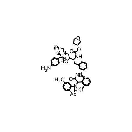 CC(=O)c1ccc(C)cc1NC(C(N)=O)c1c(Cl)cccc1Cl.CC(C)CN(C[C@@H](O)[C@H](Cc1ccccc1)NC(=O)O[C@H]1CCOC1)S(=O)(=O)c1ccc(N)cc1